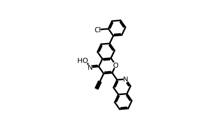 C#Cc1c(-c2cc3ccccc3cn2)oc2cc(-c3ccccc3Cl)ccc2c1=NO